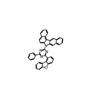 c1ccc(-c2nc(-c3cccc4oc5ccccc5c34)nc(-n3c4cc5ccccc5cc4c4c5ccccc5ccc43)n2)cc1